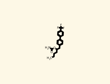 CCCCC(Cc1ccc(-c2ccc(C(F)(F)F)cc2)cc1)OC(N)=O